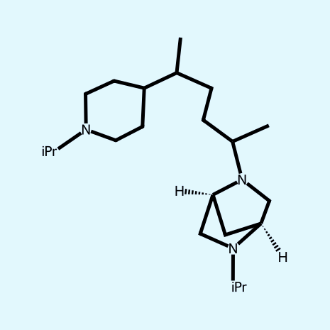 CC(CCC(C)N1C[C@@H]2C[C@H]1CN2C(C)C)C1CCN(C(C)C)CC1